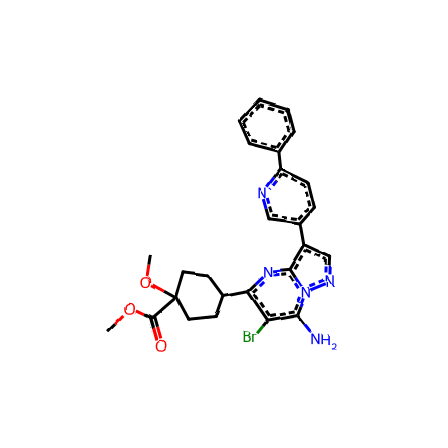 COC(=O)C1(OC)CCC(c2nc3c(-c4ccc(-c5ccccc5)nc4)cnn3c(N)c2Br)CC1